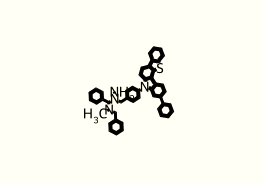 CN(Cc1ccccc1)C(c1ccccc1)N(N)Cc1ccc(-n2c3cc(-c4ccccc4)ccc3c3c4sc5ccccc5c4ccc32)cc1